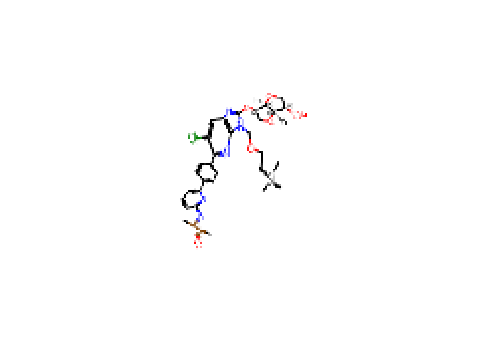 C[Si](C)(C)CCOCn1c(O[C@@H]2CO[C@H]3[C@@H]2OC[C@H]3O)nc2cc(Cl)c(-c3ccc(-c4cccc(N=S(C)(C)=O)n4)cc3)nc21